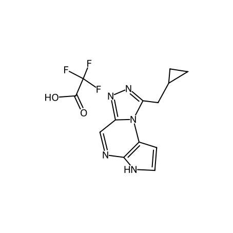 O=C(O)C(F)(F)F.c1cc2c(ncc3nnc(CC4CC4)n32)[nH]1